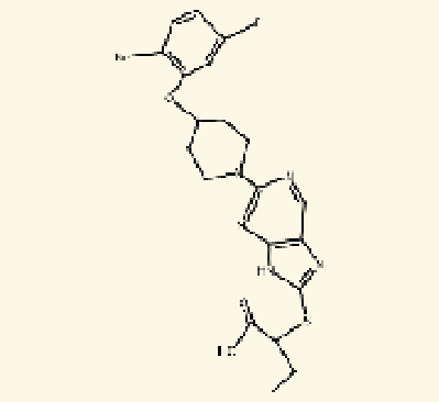 CCC(Sc1nc2cnc(N3CCC(Oc4cc(F)ccc4Br)CC3)nc2[nH]1)C(=O)O